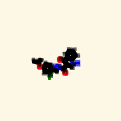 CC(C)Oc1ccc(CNC(=O)c2c[nH]c3ccccc3c2=O)c(F)c1